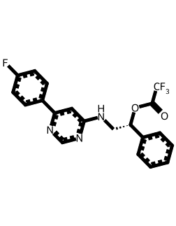 O=C(O[C@@H](CNc1cc(-c2ccc(F)cc2)ncn1)c1ccccc1)C(F)(F)F